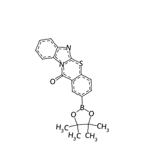 CC1(C)OB(c2ccc3sc4nc5ccccc5n4c(=O)c3c2)OC1(C)C